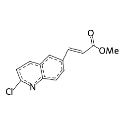 COC(=O)/C=C/c1ccc2nc(Cl)ccc2c1